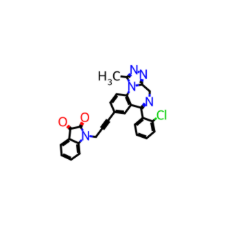 Cc1nnc2n1-c1ccc(C#CCN3C(=O)C(=O)c4ccccc43)cc1C(c1ccccc1Cl)=NC2